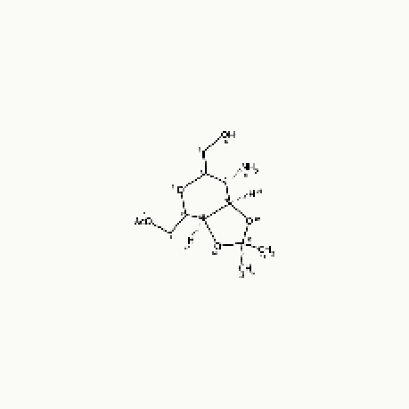 CC(=O)OCC1OC(CO)[C@H](N)[C@H]2OC(C)(C)O[C@@H]12